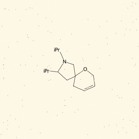 CC(C)C1CC2(CC=CCO2)CN1C(C)C